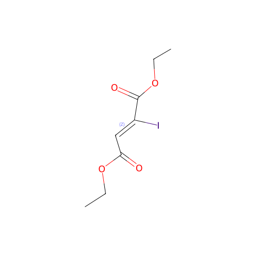 CCOC(=O)/C=C(\I)C(=O)OCC